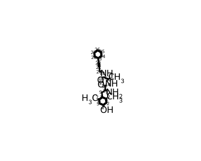 Cc1cc(O)cc(C)c1CC(N)C(=O)N[C@H](C)C(=O)NCC#Cc1ccccc1